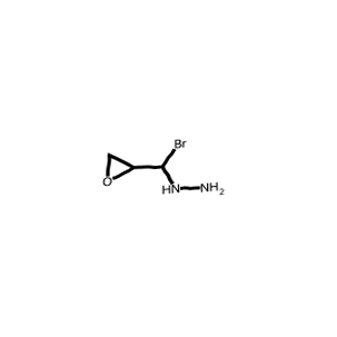 NNC(Br)C1CO1